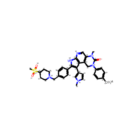 CN1C(=O)N(c2ccc(C(=O)O)cc2)Cc2c1cnc1[nH]c(-c3ccc(CN4CCC(S(C)(=O)=O)CC4)cc3)c(-c3ccn(C)c3)c21